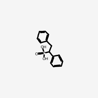 O=P(O)(O)C(Cc1ccccc1)c1ccccc1